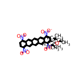 CCO[Si](c1cc([N+](=O)[O-])c2cc3cc4cc5c([N+](=O)[O-])ccc([N+](=O)[O-])c5cc4cc3cc2c1[N+](=O)[O-])(C(C)(C)C)C(C)(C)C